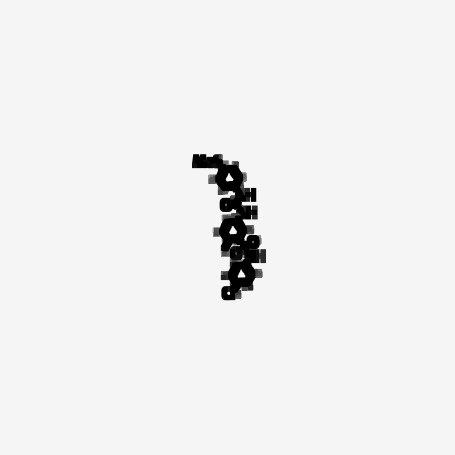 CSc1ccc(NC(=O)Nc2ccc(C)c(S(=O)(=O)Nc3ccc(Cl)cc3)c2)cc1